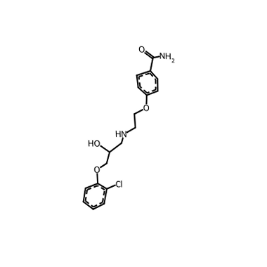 NC(=O)c1ccc(OCCNCC(O)COc2ccccc2Cl)cc1